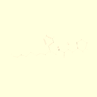 CCCCCCCCN(NC(=O)C(O)[C@H](N)CC1CCCCC1)c1ccccc1